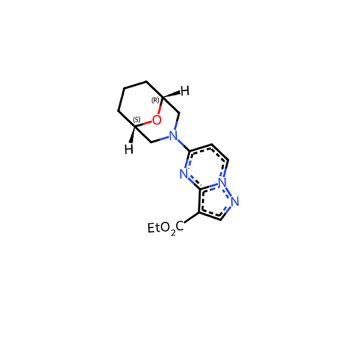 CCOC(=O)c1cnn2ccc(N3C[C@H]4CCC[C@@H](C3)O4)nc12